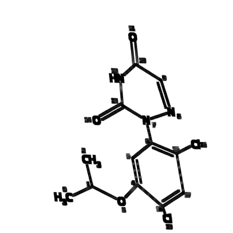 CC(C)Oc1cc(-n2ncc(=O)[nH]c2=O)c(Cl)cc1Cl